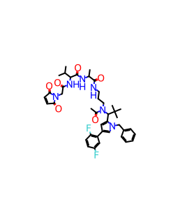 CC(=O)N(CCCNC(=O)C(C)NC(=O)C(NC(=O)CN1C(=O)C=CC1=O)C(C)C)C(c1cc(-c2cc(F)ccc2F)cn1Cc1ccccc1)C(C)(C)C